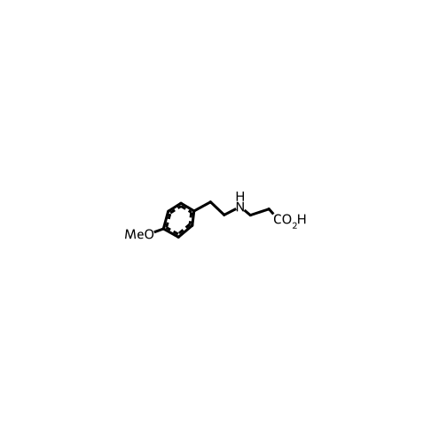 COc1ccc(CCNCCC(=O)O)cc1